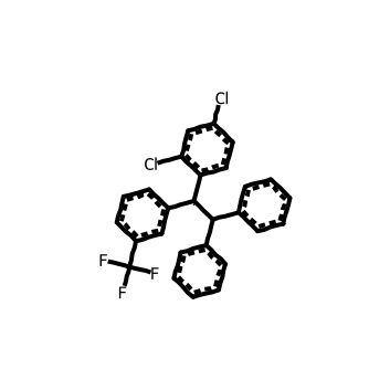 FC(F)(F)c1cccc([C](c2ccc(Cl)cc2Cl)C(c2ccccc2)c2ccccc2)c1